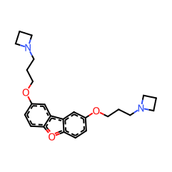 c1cc2oc3ccc(OCCCN4CCC4)cc3c2cc1OCCCN1CCC1